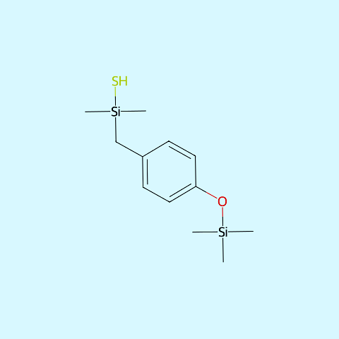 C[Si](C)(S)Cc1ccc(O[Si](C)(C)C)cc1